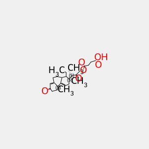 CCC1C2CCC3=CC(=O)CC[C@]3(C)C2=CC[C@]1(C)[C@H](CC)C(=O)COC(=O)CCC(=O)O